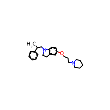 CC(CN1CCc2cc(OCCCN3CCCCC3)ccc21)c1ccccc1